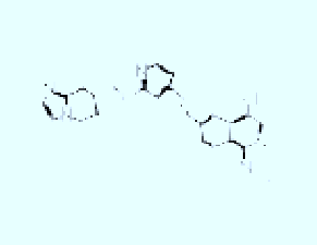 Nc1ncc(Cl)c2cc(NCc3ccnc(OC[C@@H]4CCn5ccnc5C4)c3)ccc12